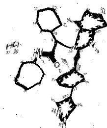 O=C(NC1CCCCC1)C(C1CCCCC1)n1c(-c2ccc(-c3cn[nH]c3)cc2)nc2ccccc21.[Cl-].[H+]